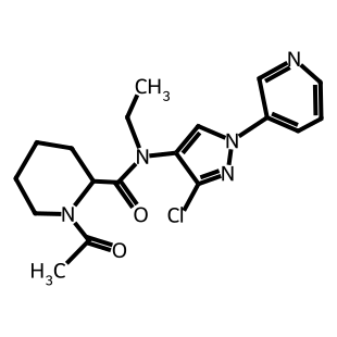 CCN(C(=O)C1CCCCN1C(C)=O)c1cn(-c2cccnc2)nc1Cl